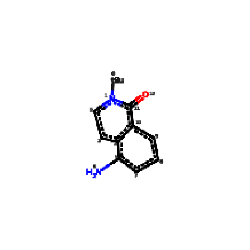 CC(C)(C)n1ccc2c(N)cccc2c1=O